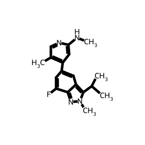 CNc1cc(-c2cc(F)c3nn(C)c(C(C)C)c3c2)c(C)cn1